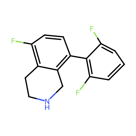 Fc1ccc(-c2c(F)cccc2F)c2c1CCNC2